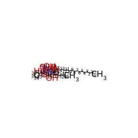 CCCCCCCCCCCCCCCCS(=O)(=O)NC(CCCCCC)C(O)C(OCc1ccccc1)C(O)P(=O)(O)O